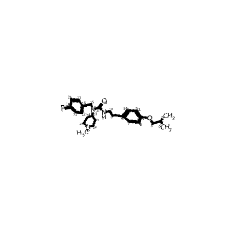 CC(C)COc1ccc(CCNC(=O)N(Cc2ccc(F)cc2)C2CCN(C)CC2)cc1